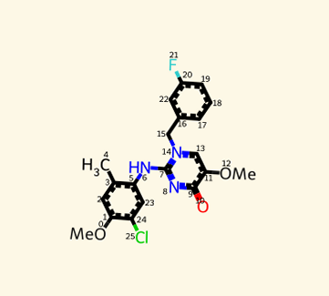 COc1cc(C)c(Nc2nc(=O)c(OC)cn2Cc2cccc(F)c2)cc1Cl